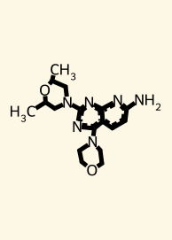 CC1CN(c2nc(N3CCOCC3)c3ccc(N)nc3n2)CC(C)O1